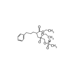 CCOC(=O)C(CCCc1ccccc1)CP(=O)(COS(C)(=O)=O)OCC